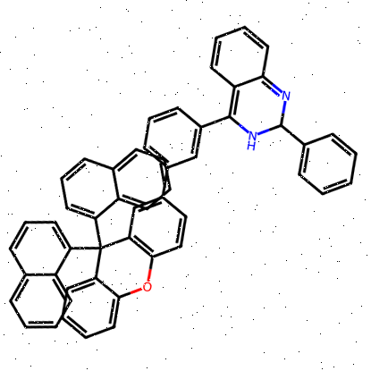 c1ccc(C2N=c3ccccc3=C(c3cccc(-c4ccc5c(c4)C(c4cccc6ccccc46)(c4cccc6ccccc46)c4ccccc4O5)c3)N2)cc1